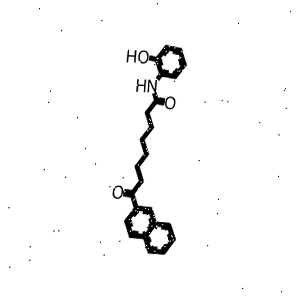 O=C(CCCCCCC(=O)c1ccc2ccccc2c1)Nc1ccccc1O